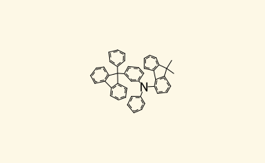 CC1(C)c2ccccc2-c2c(N(c3ccccc3)c3cccc(C4(c5ccccc5)c5ccccc5-c5ccccc54)c3)cccc21